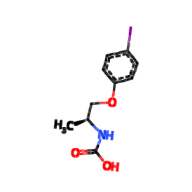 C[C@@H](COc1ccc(I)cc1)NC(=O)O